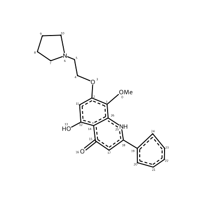 COc1c(OCCN2CCCC2)cc(O)c2c(=O)cc(-c3ccccc3)[nH]c12